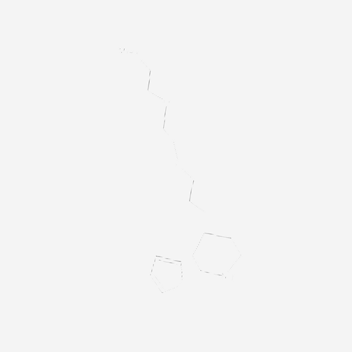 C1CCNCC1.COCCOCCOCCO.c1ccsc1